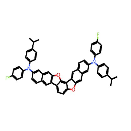 CC(C)c1ccc(N(c2ccc(F)cc2)c2ccc3cc4c(cc3c2)oc2c4ccc3oc4cc5cc(N(c6ccc(F)cc6)c6ccc(C(C)C)cc6)ccc5cc4c32)cc1